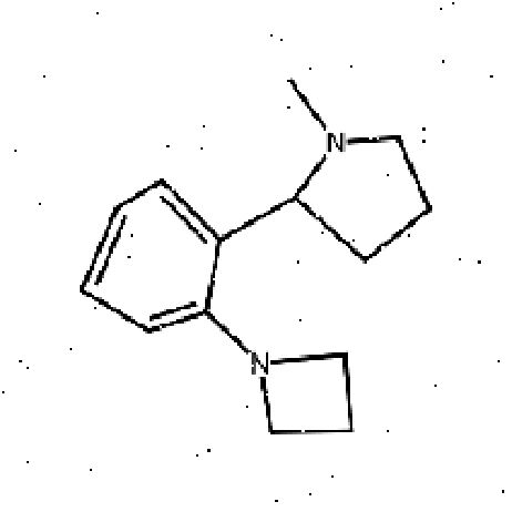 CN1CCCC1c1ccccc1N1CCC1